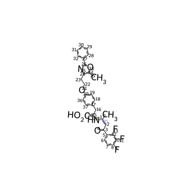 C/C(=C/C(=O)c1ccc(F)c(F)c1F)NC(Cc1ccc(OCCc2nc(-c3ccccc3)oc2C)cc1)C(=O)O